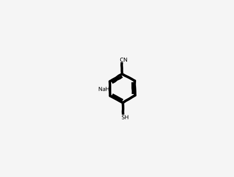 N#Cc1ccc(S)cc1.[NaH]